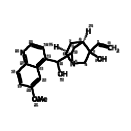 C=CC1(O)CN2CC[C@@H]1C[C@@H]2C(O)c1ccnc2ccc(OC)cc12